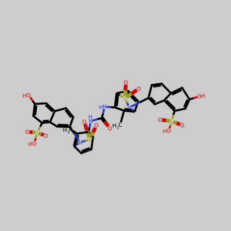 Cc1c2ccc(c1NC(=O)Nc1c3ccc(c1C)N(c1ccc4cc(O)cc(S(=O)(=O)O)c4c1)S3(=O)=O)S(=O)(=O)N2c1ccc2cc(O)cc(S(=O)(=O)O)c2c1